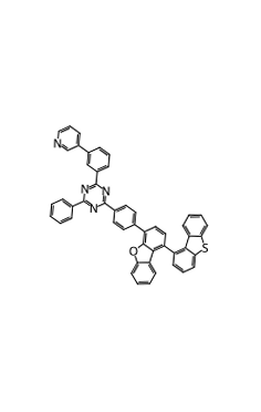 c1ccc(-c2nc(-c3ccc(-c4ccc(-c5cccc6sc7ccccc7c56)c5c4oc4ccccc45)cc3)nc(-c3cccc(-c4cccnc4)c3)n2)cc1